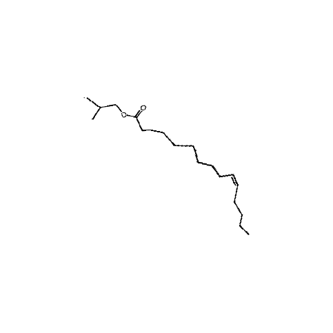 [CH2]C(C)COC(=O)CCCCCCC/C=C\CCCC